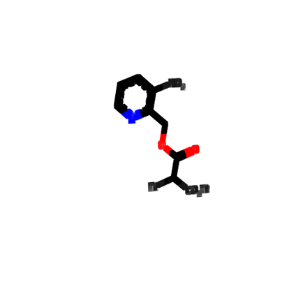 CCOC(=O)C(CC)C(=O)OCc1ncccc1[N+](=O)[O-]